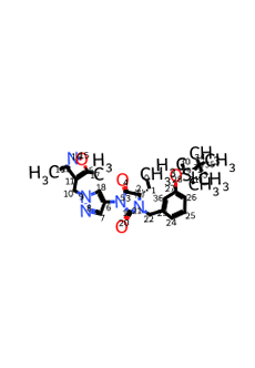 CC[C@H]1C(=O)N(c2cnn(Cc3c(C)noc3C)c2)C(=O)N1Cc1cccc(O[Si](C)(C)C(C)(C)C)c1